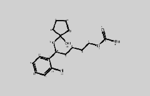 CC(C)(C)C(=O)OCCCCC(OC1(O)CCCC1)c1ccccc1Cl